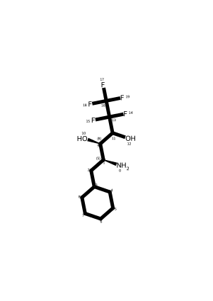 N[C@@H](CC1CCCCC1)[C@@H](O)C(O)C(F)(F)C(F)(F)F